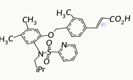 Cc1cc(OCc2ccc(/C=C/C(=O)O)cc2C)c(N(CC(C)C)S(=O)(=O)c2ccccn2)cc1C